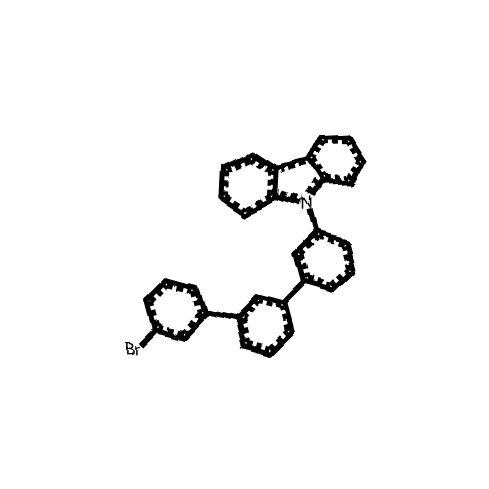 Brc1cccc(-c2cccc(-c3cccc(-n4c5ccccc5c5ccccc54)c3)c2)c1